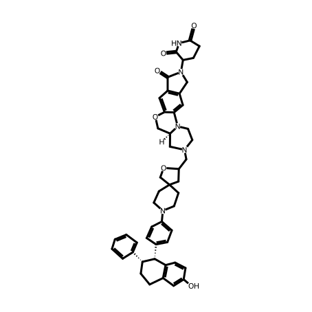 O=C1CCC(N2Cc3cc4c(cc3C2=O)OC[C@@H]2CN(CC3CC5(CCN(c6ccc([C@@H]7c8ccc(O)cc8CC[C@@H]7c7ccccc7)cc6)CC5)CO3)CCN42)C(=O)N1